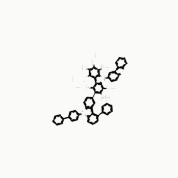 Bc1c(B)c(B)c2c(c1B)c1c(B)c(-c3ccc4c(c3)c3c(-c5ccccc5)cccc3n4-c3ccc(-c4ccccc4)cc3)c(B)c(B)c1n2-c1ccc2sc3ccccc3c2c1